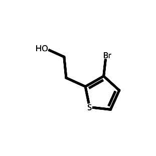 OCCc1sccc1Br